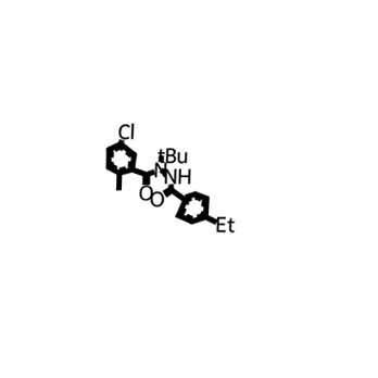 CCc1ccc(C(=O)NN(C(=O)c2cc(Cl)ccc2C)C(C)(C)C)cc1